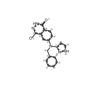 O=c1[nH]nc(Cl)c2cc(N(Cc3ccccc3)c3cc[nH]n3)ccc12